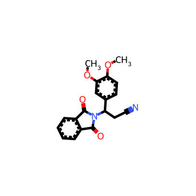 COc1ccc(C(CC#N)N2C(=O)c3ccccc3C2=O)cc1OC